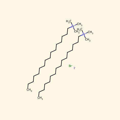 CCCCCCCCCCCCCCCC[N+](C)(C)C.CCCCCCCCCCCCCCCC[N+](C)(C)C.[Br-].[I-]